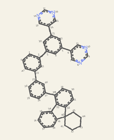 c1cc(-c2cc(-c3cncnc3)cc(-c3cncnc3)c2)cc(-c2cccc(-c3cccc4c3-c3ccccc3C43CCCCC3)c2)c1